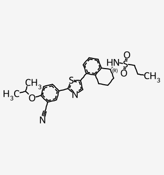 CCCS(=O)(=O)N[C@@H]1CCCc2c(-c3cnc(-c4ccc(OC(C)C)c(C#N)c4)s3)cccc21